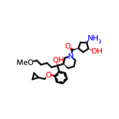 COCCCC[C@](O)(c1ccccc1OCC1CC1)[C@@H]1CCCN(C(=O)[C@H]2C[C@@H](N)[C@H](O)C2)C1